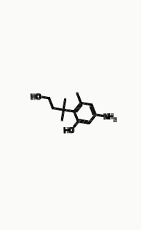 Cc1cc(N)cc(O)c1C(C)(C)CCO